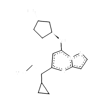 COC[C@H](c1cc(N[C@H]2CC[C@H](N)C2)n2nccc2n1)C1CC1